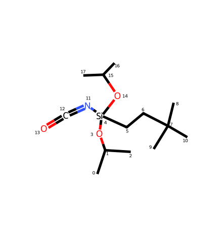 CC(C)O[Si](CCC(C)(C)C)(N=C=O)OC(C)C